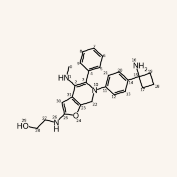 CNC1=C(c2ccccc2)N(c2ccc(C3(N)CCC3)cc2)Cc2oc(NCCO)cc21